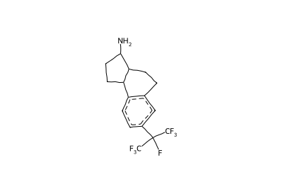 NC1CCC2c3ccc(C(F)(C(F)(F)F)C(F)(F)F)cc3CCC12